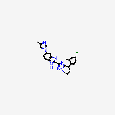 Cc1cn(-c2ccc3[nH]c(-c4nc5n(n4)CCCC5c4ccc(F)cc4C)nc3c2)cn1